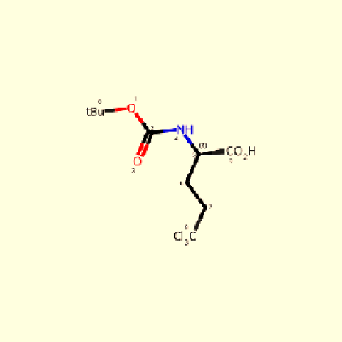 CC(C)(C)OC(=O)N[C@H](CCC(Cl)(Cl)Cl)C(=O)O